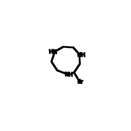 BrC1CNCCNCCN1